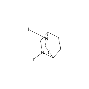 IN1CCC2CCC1CN2I